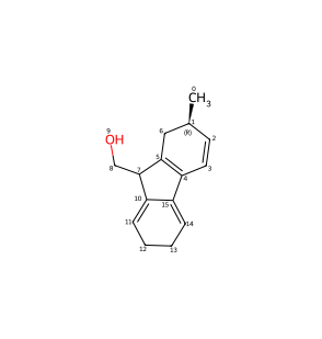 C[C@H]1C=CC2=C(C1)C(CO)C1=CCCC=C12